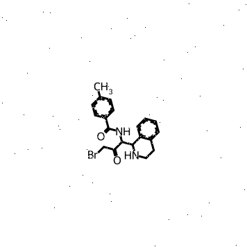 Cc1ccc(C(=O)NC(C(=O)CBr)C2NCCc3ccccc32)cc1